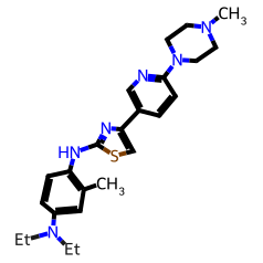 CCN(CC)c1ccc(Nc2nc(-c3ccc(N4CCN(C)CC4)nc3)cs2)c(C)c1